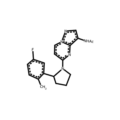 CC(=O)Nc1cnn2ccc(N3CCCC3c3cc(F)ccc3C)nc12